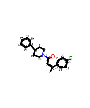 CC(=CC(=O)N1CCC(c2ccccc2)CC1)c1ccc(F)cc1